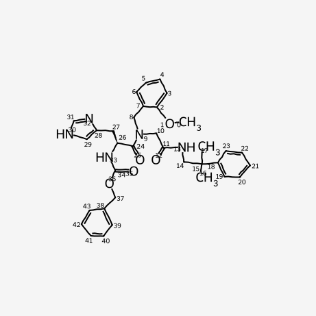 COc1ccccc1CN(CC(=O)NCC(C)(C)c1ccccc1)C(=O)[C@H](Cc1c[nH]cn1)NC(=O)OCc1ccccc1